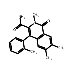 Cc1cc2c(-c3ccccc3C)c(C(N)=O)n(C)c(=O)c2cc1C